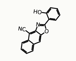 N#Cc1c2ccccc2cc2oc(-c3ccccc3O)nc12